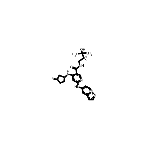 CC(C)(O)[C@H](F)CNC(=O)c1cnc(Nc2ccn3nccc3c2)cc1NC1CCC(F)C1